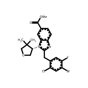 COC(=O)c1ccc2nc(Cc3cc(F)c(Br)cc3Cl)n([C@@H]3COCC3(C)C)c2c1